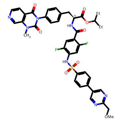 CCC(CC)OC(=O)[C@H](Cc1ccc(-n2c(=O)c3ccncc3n(C)c2=O)cc1)NC(=O)c1cc(F)c(NS(=O)(=O)c2ccc(-c3cnc(COC)nc3)cc2)cc1F